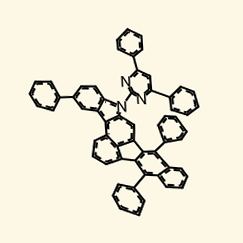 c1ccc(-c2ccc3c(c2)c2c4cccc5c4c(cc2n3-c2nc(-c3ccccc3)cc(-c3ccccc3)n2)-c2c-5c(-c3ccccc3)c3ccccc3c2-c2ccccc2)cc1